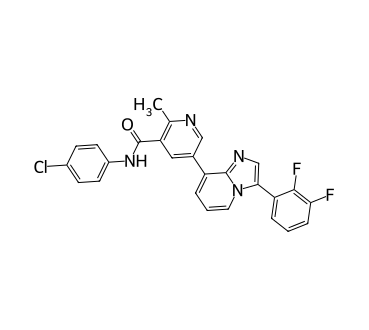 Cc1ncc(-c2cccn3c(-c4cccc(F)c4F)cnc23)cc1C(=O)Nc1ccc(Cl)cc1